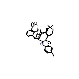 Cc1ccc(/N=C2\C(=O)C3CCC(C)(C)C=C3C3Nc4c(O)cccc4C=C23)cc1